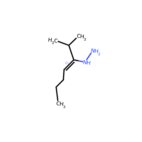 CCC/C=C(\NN)C(C)C